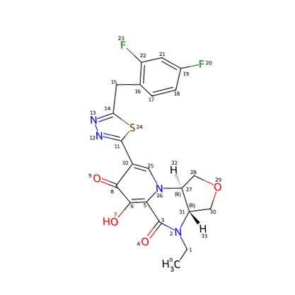 CCN1C(=O)c2c(O)c(=O)c(-c3nnc(Cc4ccc(F)cc4F)s3)cn2[C@H]2COC[C@@H]21